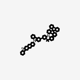 CC1(C)c2ccccc2N(c2cccc3c2-c2ccccc2C32c3ccccc3-c3ccccc32)c2ccc(-c3ccc4c(c3)c3ccccc3n4-c3ccc4cc5cc6c(cc5cc4c3)sc3ccccc36)cc21